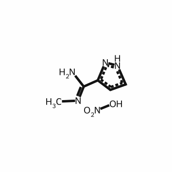 CN=C(N)c1cc[nH]n1.O=[N+]([O-])O